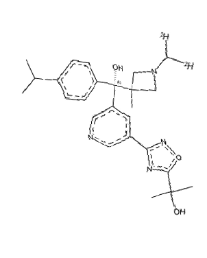 [2H]C([2H])N1CC(C)([C@](O)(c2ccc(C(C)C)cc2)c2cncc(-c3noc(C(C)(C)O)n3)c2)C1